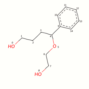 OCCCC(OCCO)c1ccccc1